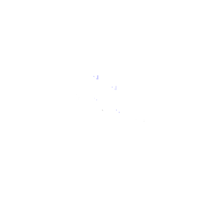 CCCCONC(=O)N(C(=N)N)c1c(C)cccc1C